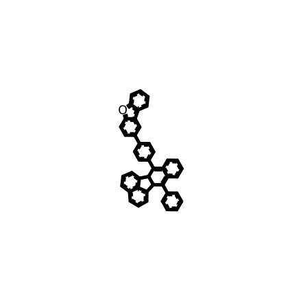 c1ccc(C2=c3ccccc3=C(c3ccc(-c4ccc5oc6ccccc6c5c4)cc3)C3c4cccc5cccc(c45)C23)cc1